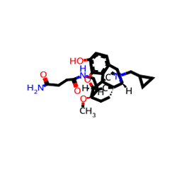 CO[C@]12CC[C@@]3(C[C@@H]1CNC(=O)CCC(N)=O)[C@H]1Cc4ccc(O)c5c4[C@@]3(CCN1CC1CC1)[C@H]2O5